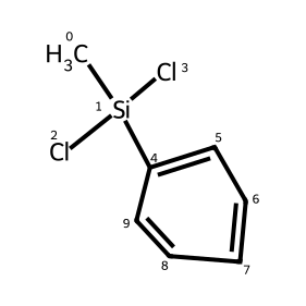 C[Si](Cl)(Cl)c1ccccc1